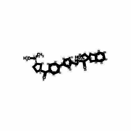 CN(C)[C@H]1CCN(C(=O)c2ccc(-c3csc(CNC(=O)C4(CC(=O)O)Cc5ccccc5C4)n3)cc2)C1